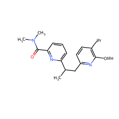 COc1nc(CC(C)c2cccc(C(=O)N(C)C)n2)ccc1C(C)C